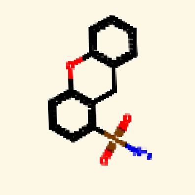 NS(=O)(=O)c1cccc2c1Cc1ccccc1O2